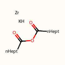 CCCCCCCC(=O)OC(=O)CCCCCCC.[KH].[Zr]